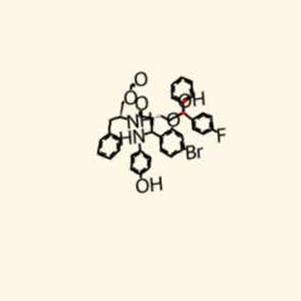 O=COC[C@H](Cc1ccccc1)NC(=O)[C@H](CCC(O)c1ccc(F)cc1)C(Nc1ccc(O)cc1)c1ccc(Br)cc1OCc1ccccc1